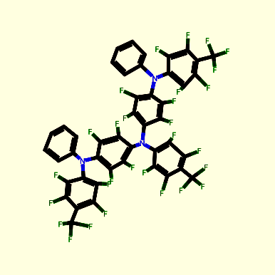 Fc1c(F)c(N(c2c(F)c(F)c(N(c3ccccc3)c3c(F)c(F)c(C(F)(F)F)c(F)c3F)c(F)c2F)c2c(F)c(F)c(C(F)(F)F)c(F)c2F)c(F)c(F)c1N(c1ccccc1)c1c(F)c(F)c(C(F)(F)F)c(F)c1F